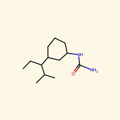 CCC(C(C)C)C1CCCC(NC(N)=O)C1